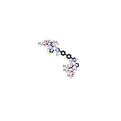 COC(=O)N[C@H](C(=O)N1CC(F)(F)C[C@H]1C1=NCC(c2ccc(-c3ccc(-c4cnc([C@@H]5CCCN5C(=O)[C@@H](NC(=O)OC)C(C)C)[nH]4)cc3)cc2)N1)C(C)C